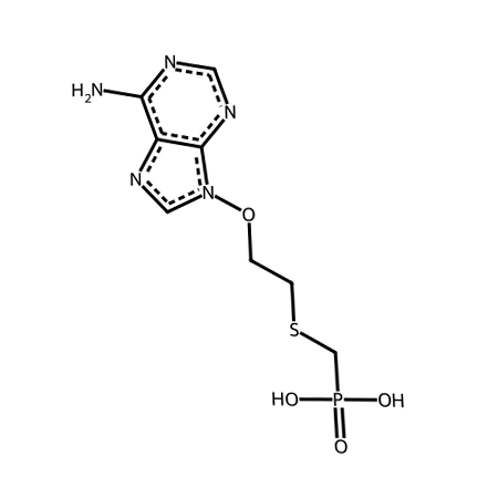 Nc1ncnc2c1ncn2OCCSCP(=O)(O)O